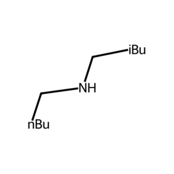 CCCCCNCC(C)CC